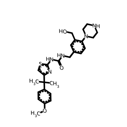 COc1ccc(C(C)(C)c2csc(NC(=O)NCc3ccc(N4CCNCC4)c(CO)c3)n2)cc1